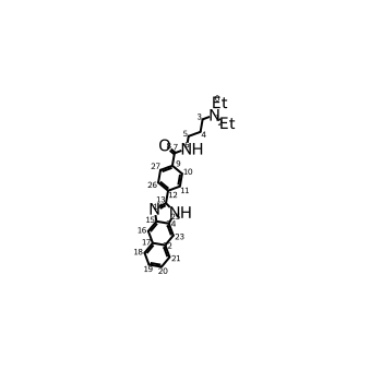 CCN(CC)CCCNC(=O)c1ccc(-c2nc3cc4ccccc4cc3[nH]2)cc1